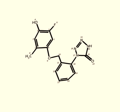 Cc1cc(O)c(F)cc1OCc1ccccc1-n1nn[nH]c1=O